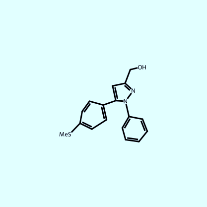 CSc1ccc(-c2cc(CO)nn2-c2ccccc2)cc1